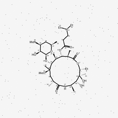 CC[C@H]1OC(=O)[C@H](C)[C@@H](OC(=O)CCN(CC)CC)[C@H](C)[C@@H](O[C@@H]2O[C@H](C)C[C@H](NC)[C@@H]2O)[C@](C)(OC)C[C@@H](C)C(=O)N[C@H](C)[C@@H](O)[C@]1(C)O